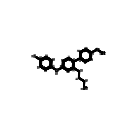 CCOc1ccc(-c2ccc(Oc3ccc(F)cc3)cc2CCCC(C)C)cc1